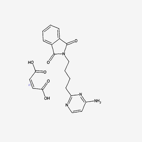 Nc1ccnc(CCCCN2C(=O)c3ccccc3C2=O)n1.O=C(O)/C=C\C(=O)O